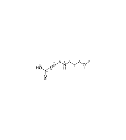 COCCCNCC#CC(=O)O